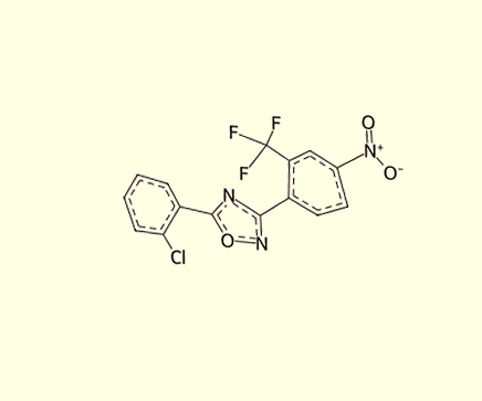 O=[N+]([O-])c1ccc(-c2noc(-c3ccccc3Cl)n2)c(C(F)(F)F)c1